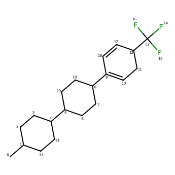 CC1CCC(C2CCC(C3=CCC(C(F)(F)F)C=C3)CC2)CC1